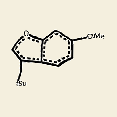 COc1ccc2c(C(C)(C)C)coc2c1